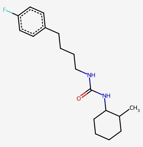 CC1CCCCC1NC(=O)NCCCCc1ccc(F)cc1